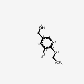 OCc1cnc(OCC(F)(F)F)c(Cl)c1